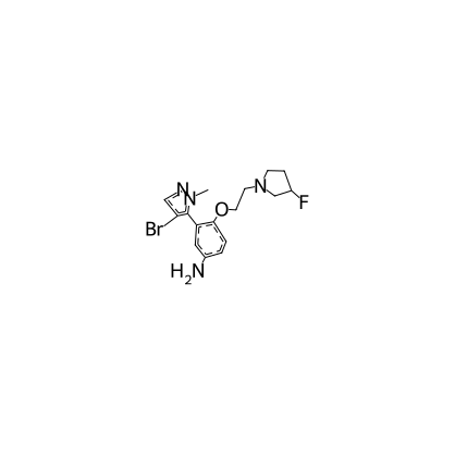 Cn1ncc(Br)c1-c1cc(N)ccc1OCCN1CCC(F)C1